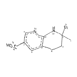 CCC1(C)CCc2cc(C(=O)O)cnc2N1